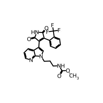 COC(=O)NCCCn1cc(C2=C(c3ccccc3C(F)(F)F)C(=O)NC2=O)c2cccnc21